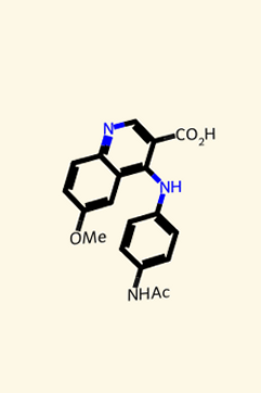 COc1ccc2ncc(C(=O)O)c(Nc3ccc(NC(C)=O)cc3)c2c1